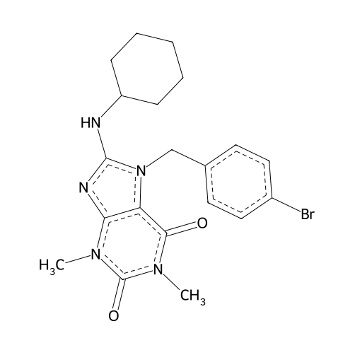 Cn1c(=O)c2c(nc(NC3CCCCC3)n2Cc2ccc(Br)cc2)n(C)c1=O